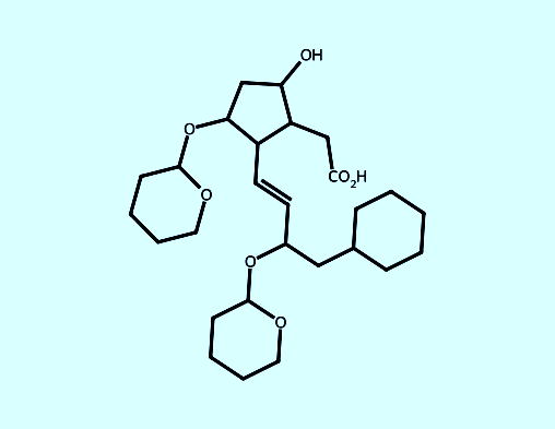 O=C(O)CC1C(O)CC(OC2CCCCO2)C1C=CC(CC1CCCCC1)OC1CCCCO1